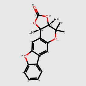 CC1(C)Oc2cc3c(cc2[C@@H]2OC(=O)O[C@@H]21)oc1ccccc13